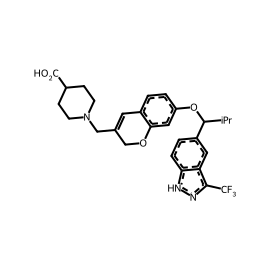 CC(C)C(Oc1ccc2c(c1)OCC(CN1CCC(C(=O)O)CC1)=C2)c1ccc2[nH]nc(C(F)(F)F)c2c1